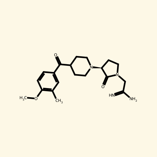 COc1ccc(C(=O)C2CCN([C@H]3CCN(CC(=N)N)C3=O)CC2)cc1C